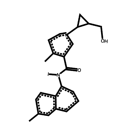 Cc1ccc2c(N(I)C(=O)c3cc(C4CC4CO)ccc3C)cccc2c1